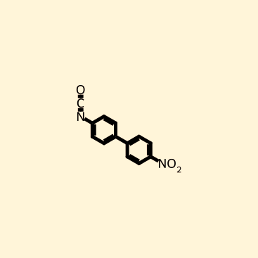 O=C=Nc1ccc(-c2ccc([N+](=O)[O-])cc2)cc1